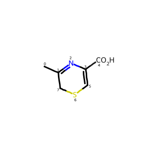 CC1=NC(C(=O)O)=CSC1